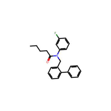 CCCCC(=O)N(Cc1ccccc1-c1ccccc1)c1cccc(F)c1